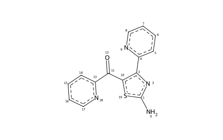 Nc1nc(-c2ccccn2)c(C(=O)c2ccccn2)s1